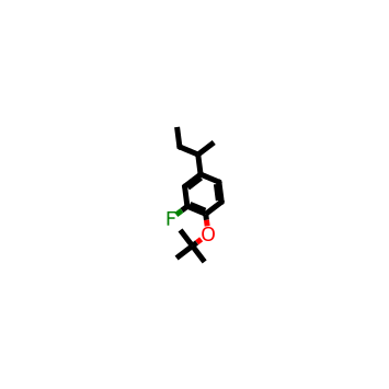 CCC(C)c1ccc(OC(C)(C)C)c(F)c1